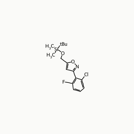 CC(C)(C)[Si](C)(C)OCc1cc(-c2c(F)cccc2Cl)no1